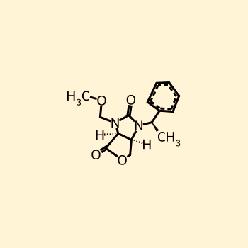 COCN1C(=O)N([C@H](C)c2ccccc2)[C@H]2COC(=O)[C@H]21